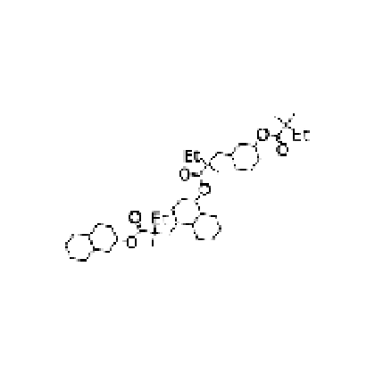 CCC(C)(C)C(=O)OC1CCCC(CC(C)(CC)C(=O)OC2CCC(CC(C)(CC)C(=O)OC3CCC4CCCCC4C3)C3CCCCC23)C1